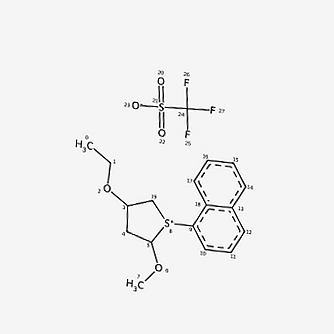 CCOC1CC(OC)[S+](c2cccc3ccccc23)C1.O=S(=O)([O-])C(F)(F)F